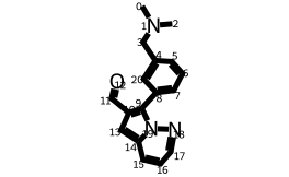 CN(C)Cc1cccc(-c2c(C=O)cc3cccnn23)c1